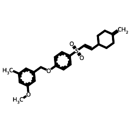 C=C1CCC(C=CS(=O)(=O)c2ccc(OCc3cc(C)cc(OC)c3)cc2)CC1